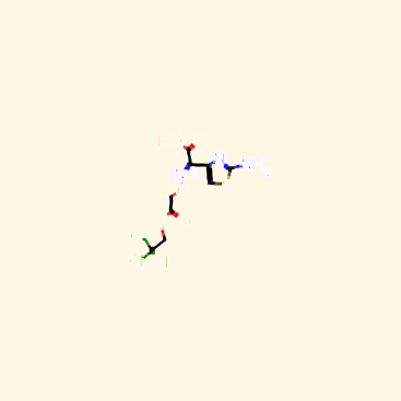 Nc1nc(/C(=N\OCC(=O)OCC(Cl)(Cl)Cl)C(=O)O)cs1